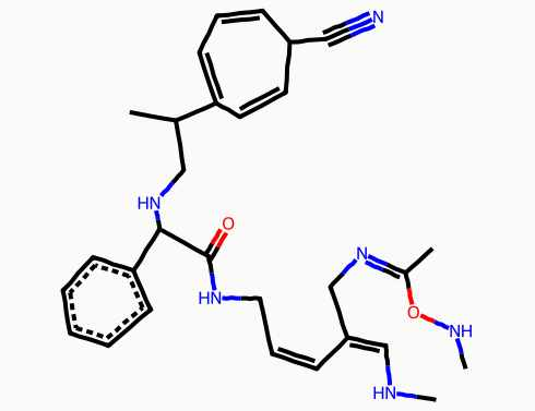 CN/C=C(\C=C/CNC(=O)C(NCC(C)C1=CC=CC(C#N)C=C1)c1ccccc1)C/N=C(/C)ONC